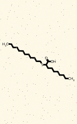 CCCCCCCCCCCCSC(CCCCCCCC)C(=O)O